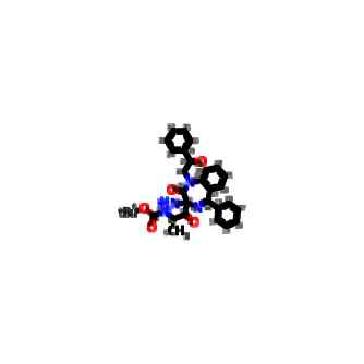 C[C@H](NC(=O)OC(C)(C)C)C(=O)C1(N)N=C(c2ccccc2)c2ccccc2N(CC(=O)c2ccccc2)C1=O